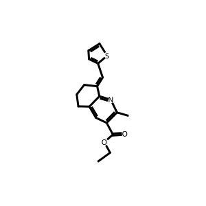 CCOC(=O)c1cc2c(nc1C)C(=Cc1cccs1)CCC2